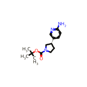 CC(C)(C)OC(=O)N1CC[C@@H](c2ccc(N)nc2)C1